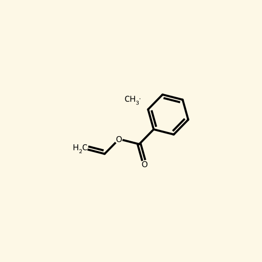 C=COC(=O)c1ccccc1.[CH3]